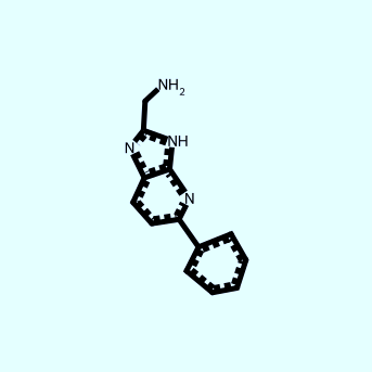 NCc1nc2ccc(-c3ccccc3)nc2[nH]1